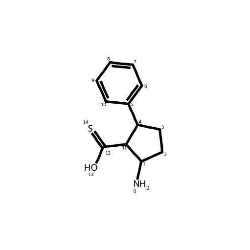 NC1CCC(c2ccccc2)C1C(O)=S